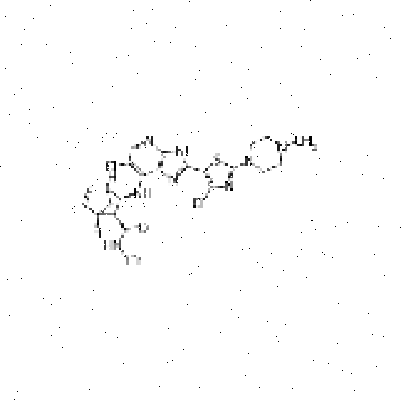 CC(C)NC(=O)[C@@H]1[C@H](Nc2c(Cl)cnc3[nH]c(-c4sc(N5CCN(C)CC5)nc4Cl)nc23)[C@H]2C=C[C@@H]1C2